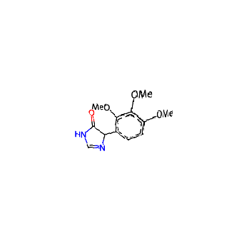 COc1ccc(C2N=CNC2=O)c(OC)c1OC